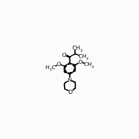 COc1cc(N2CCOCC2)cc(OC)c1C(=O)C(C)C